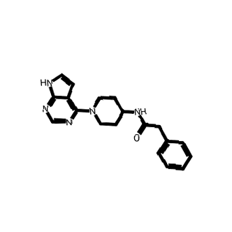 O=C(Cc1ccccc1)NC1CCN(c2ncnc3[nH]ccc23)CC1